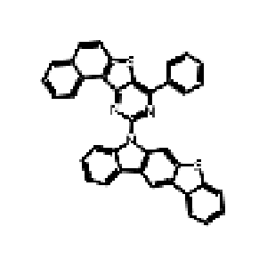 c1ccc(-c2nc(-n3c4ccccc4c4cc5c(cc43)sc3ccccc35)nc3c2sc2ccc4ccccc4c23)cc1